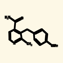 COc1ccc(Cc2c(C(N)=O)ccnc2C)cc1